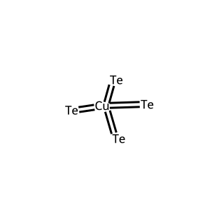 [Te]=[Cu](=[Te])(=[Te])=[Te]